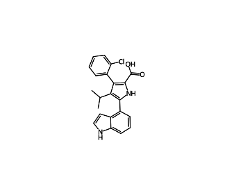 CC(C)c1c(-c2cccc3[nH]ccc23)[nH]c(C(=O)O)c1-c1ccccc1Cl